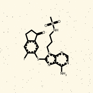 CS(=O)(=O)NCCCn1c(Sc2cc3c(cc2I)CCC3=O)nc2c(N)ncnc21